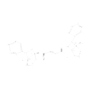 O=C(/C=C/C(=O)O[C@@]12CNC[C@H]1N(c1cccnc1)C2)O[C@@]12CNC[C@H]1N(c1cccnc1)C2